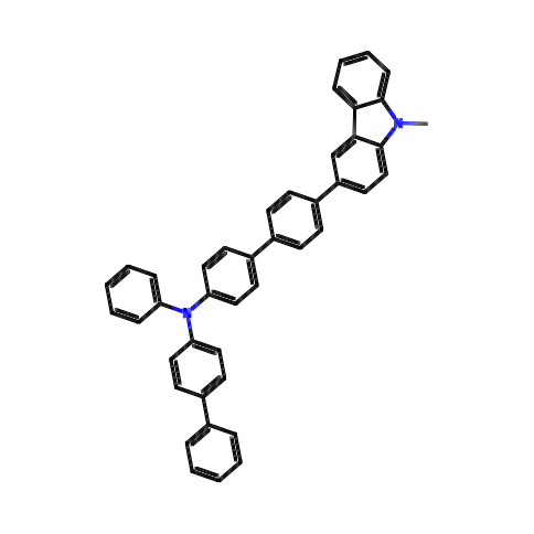 Cn1c2ccccc2c2cc(-c3ccc(-c4ccc(N(c5ccccc5)c5ccc(-c6ccccc6)cc5)cc4)cc3)ccc21